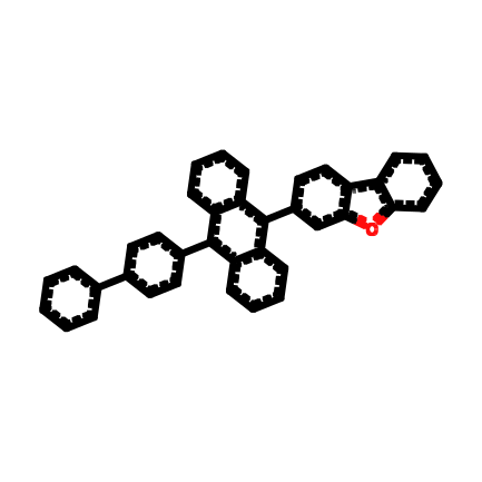 c1ccc(-c2ccc(-c3c4ccccc4c(-c4ccc5c(c4)oc4ccccc45)c4ccccc34)cc2)cc1